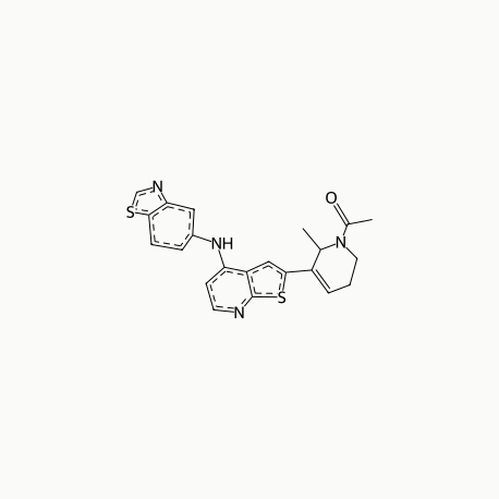 CC(=O)N1CCC=C(c2cc3c(Nc4ccc5scnc5c4)ccnc3s2)C1C